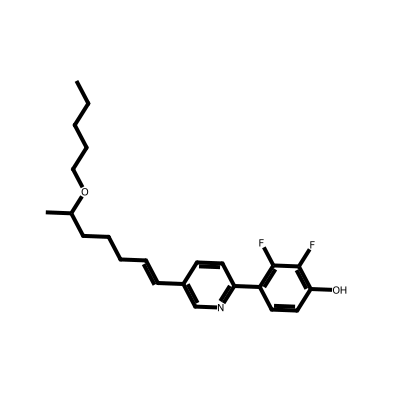 CCCCCOC(C)CCC/C=C/c1ccc(-c2ccc(O)c(F)c2F)nc1